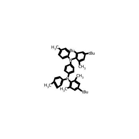 CCCCc1cc(C(C)(C)C)cc(C)c1N(c1ccc(C)cc1)c1ccc(N(c2ccc(C)cc2)c2c(C)cc(C(C)(C)C)cc2C)cc1